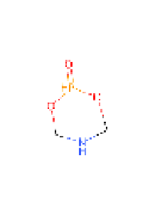 O=[PH]1OCNCO1